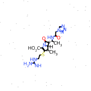 CC(NC(=O)Cn1cnnn1)[C@H]1C(=O)N2C(C(=O)O)=C(SCCNC(=N)N)[C@H](C)[C@H]12